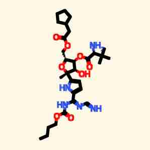 CCCCOC(=O)N/C(=N/C=N)c1ccc([C@]2(C)O[C@H](COC(=O)CC3CCCC3)[C@@H](OC(=O)[C@@H](N)C(C)(C)C)[C@H]2O)[nH]1